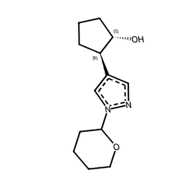 O[C@H]1CCC[C@@H]1c1cnn(C2CCCCO2)c1